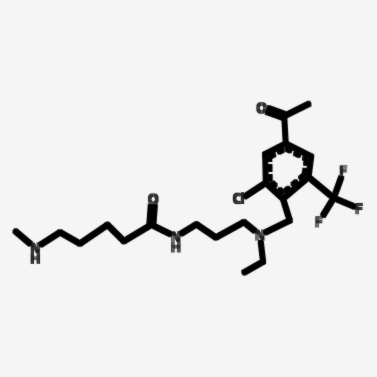 CCN(CCCNC(=O)CCCCNC)Cc1c(Cl)cc(C(C)=O)cc1C(F)(F)F